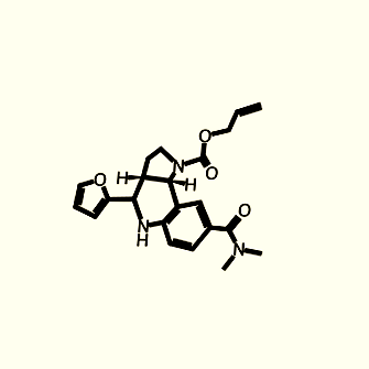 C=CCOC(=O)N1CC[C@H]2C(c3ccco3)Nc3ccc(C(=O)N(C)C)cc3[C@H]21